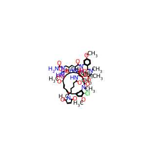 COc1ccc(C(=O)N(C)[C@@H](C)C(=O)O[C@H]2CC(=O)N(C)c3cc(cc(OC)c3Cl)C/C(C)=C/C=C/[C@@H](OC)[C@@]3(O)C[C@H](OC(=O)N3)[C@@H](C)[C@@H]3O[C@@]23C)c(NC(=O)[C@H](CCCNC(N)=O)NC(=O)[C@@H](NC(=O)CCCCCN2C(=O)C=CC2=O)C(C)C)c1